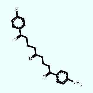 Cc1ccc(C(=O)CCCC(=O)CCCC(=O)c2ccc(F)cc2)cc1